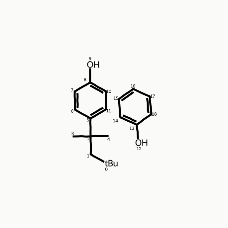 CC(C)(C)CC(C)(C)c1ccc(O)cc1.Oc1ccccc1